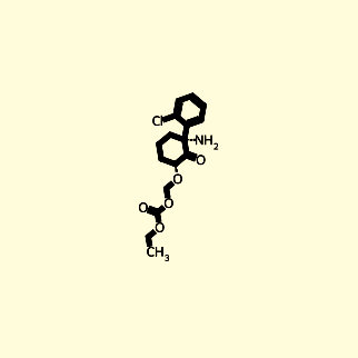 CCOC(=O)OCO[C@@H]1CCC[C@@](N)(c2ccccc2Cl)C1=O